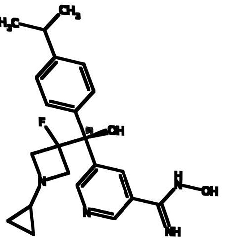 CC(C)c1ccc([C@](O)(c2cncc(C(=N)NO)c2)C2(F)CN(C3CC3)C2)cc1